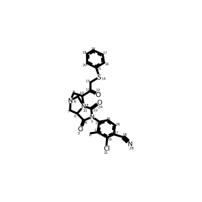 Cc1c(N2C(=O)C3CN4CC(C(=O)CSc5ccccc5)[N+]3(C4)C2=O)ccc(C#N)c1Cl